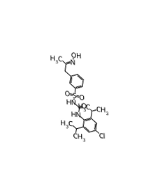 CC(Cc1cccc(S(=O)(=O)NC(=O)Nc2c(C(C)C)cc(Cl)cc2C(C)C)c1)=NO